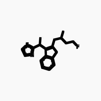 C[C](CCF)CC1=C(C(C)c2nccs2)c2ccccc2C1